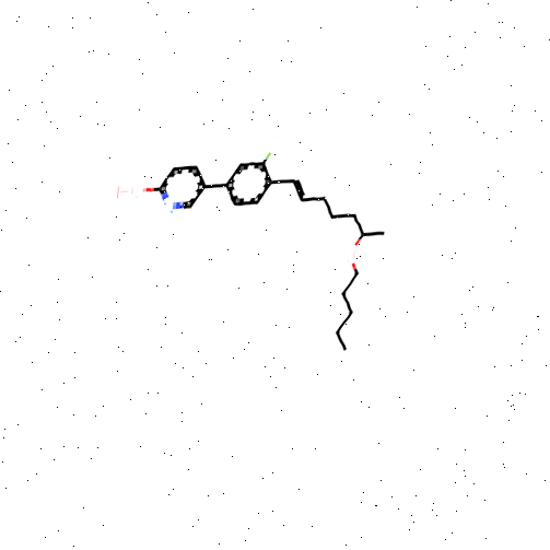 CCCCCOC(C)CCC/C=C/c1ccc(-c2ccc(O)nc2)cc1F